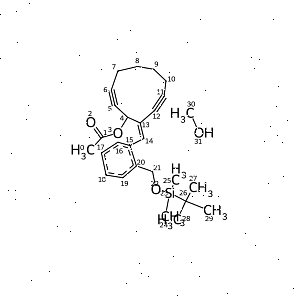 CC(=O)OC1C#CCCCCC#CC1=Cc1ccccc1CO[Si](C)(C)C(C)(C)C.CO